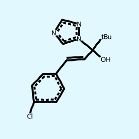 CC(C)(C)C(O)(C=Cc1ccc(Cl)cc1)n1cncn1